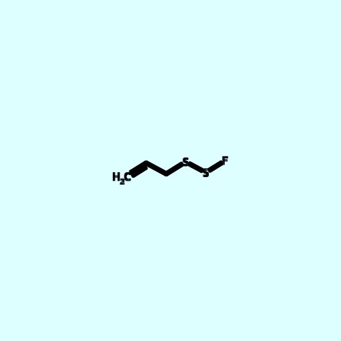 C=CCSSF